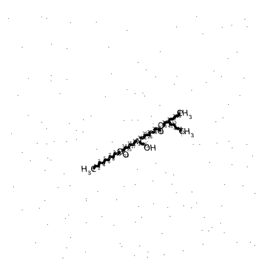 CCCCCCCCCCCOC(=O)CCCCCN(CCO)CCCCCCCC(=O)OCCC(CCCCC)CCCCC